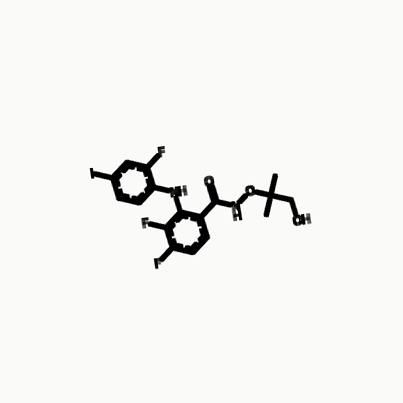 CC(C)(CO)ONC(=O)c1ccc(F)c(F)c1Nc1ccc(I)cc1F